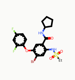 CCS(=O)(=O)Nc1cc(Br)c(Oc2ccc(F)cc2F)cc1C(=O)NC1CCCC1